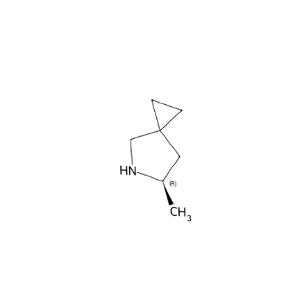 C[C@@H]1CC2(CC2)CN1